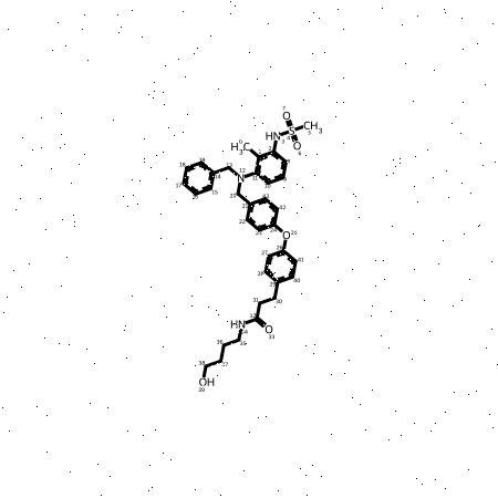 Cc1c(NS(C)(=O)=O)cccc1N(Cc1ccccc1)Cc1ccc(Oc2ccc(CCC(=O)NCCCCO)cc2)cc1